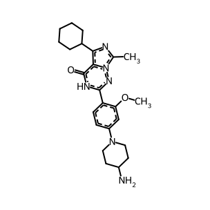 COc1cc(N2CCC(N)CC2)ccc1-c1nn2c(C)nc(C3CCCCC3)c2c(=O)[nH]1